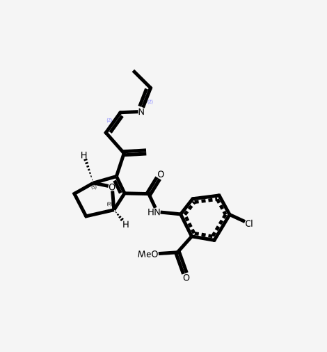 C=C(/C=C\N=C/C)C1=C(C(=O)Nc2ccc(Cl)cc2C(=O)OC)[C@H]2CC[C@@H]1O2